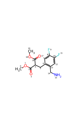 COC(=O)C(Cc1cc(F)c(F)cc1CN)C(=O)OC